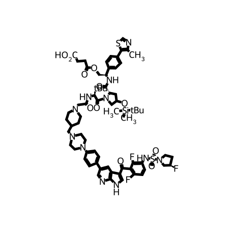 Cc1ncsc1-c1ccc([C@H](COC(=O)CCC(=O)O)NC(=O)[C@@H]2CC(O[Si](C)(C)C(C)(C)C)CN2C(=O)[C@@H](NC(=O)CN2CCC(CN3CCN(c4ccc(-c5cnc6[nH]cc(C(=O)c7c(F)ccc(NS(=O)(=O)N8CC[C@@H](F)C8)c7F)c6c5)cc4)CC3)CC2)C(C)(C)C)cc1